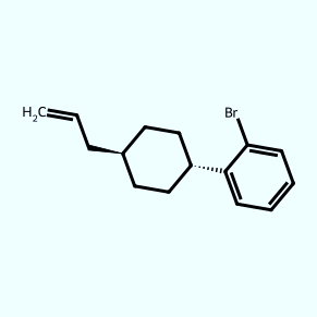 C=CC[C@H]1CC[C@H](c2ccccc2Br)CC1